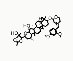 COc1ccc(CN2CCOC(OC3CCC45CC46CCC4(C)C7C(OC(C(OC(C)=O)C(C)(C)O)C[C@H]7C)[C@H](O)[C@@]4(C)C6CC[C@H]5C3(C)C)C2)c(OC)c1